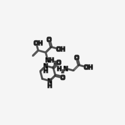 CC(O)C(N)C(=O)O.NCC(=O)O.O=C1NCCNC1=O